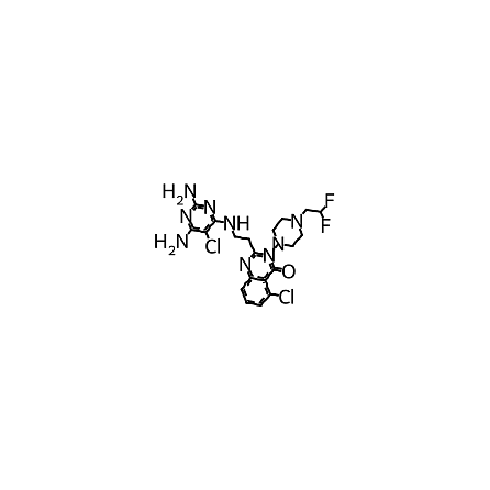 Nc1nc(N)c(Cl)c(NCCc2nc3cccc(Cl)c3c(=O)n2N2CCN(CC(F)F)CC2)n1